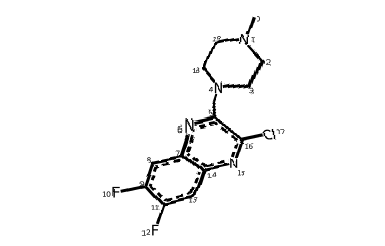 CN1CCN(c2nc3cc(F)c(F)cc3nc2Cl)CC1